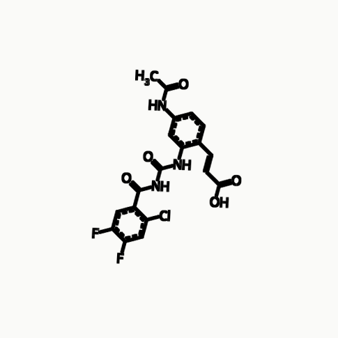 CC(=O)Nc1ccc(/C=C/C(=O)O)c(NC(=O)NC(=O)c2cc(F)c(F)cc2Cl)c1